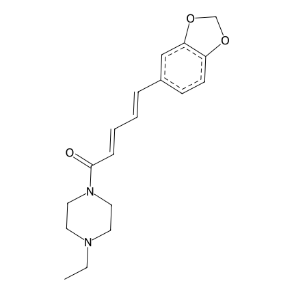 CCN1CCN(C(=O)/C=C/C=C/c2ccc3c(c2)OCO3)CC1